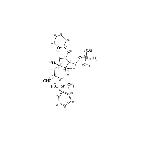 CC(C)(C)[Si](C)(C)OCC1C(OC2CCCCO2)C[C@H]2C=C(C=O)C([Si](C)(C)c3ccccc3)C[C@@H]12